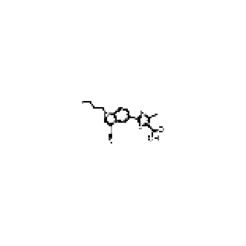 CCCCn1cc(C#N)c2cc(-c3nc(C)c(C(=O)O)s3)ccc21